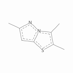 Cc1cc2sc(C)c(C)n2n1